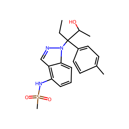 CCC(c1ccc(C)cc1)(C(C)O)n1ncc2c(NS(C)(=O)=O)cccc21